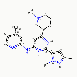 CC(=O)N1CCCC(c2cc(Nc3cc(C(F)(F)F)ccn3)nc(-c3cc(C)nn3C)n2)C1